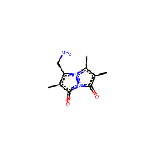 Cc1c(C)n2c(CN)c(C)c(=O)n2c1=O